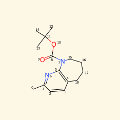 Cc1ccc2c(n1)N(C(=O)OC(C)(C)C)CCCC2